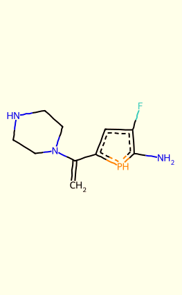 C=C(c1cc(F)c(N)[pH]1)N1CCNCC1